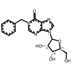 O=c1c2ncn(C3O[C@@H](CO)[C@H](O)[C@@H]3O)c2ncn1Cc1ccccc1